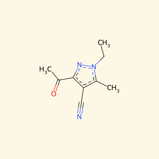 CCn1nc(C(C)=O)c(C#N)c1C